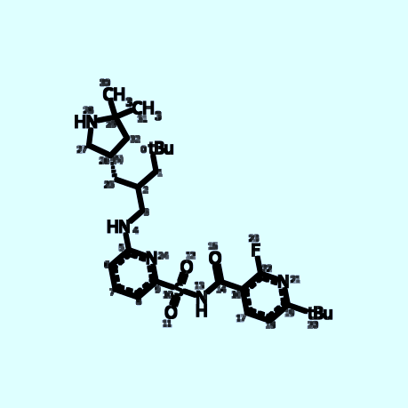 CC(C)(C)CC(CNc1cccc(S(=O)(=O)NC(=O)c2ccc(C(C)(C)C)nc2F)n1)C[C@@H]1CNC(C)(C)C1